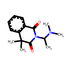 CC(N(C)C)N1C(=O)c2ccccc2C(C)(C)C1=O